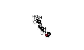 O=C(NCC12CC3CC(CC(C3)C1)C2)c1ccc2c(ccn2Cc2ccc(C(=O)NO)c(Cl)c2)c1